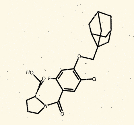 O=C(O)[C@@H]1CCCN1C(=O)c1cc(Cl)c(OCC23CC4CC(CC2C4)C3)cc1F